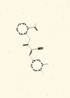 Cc1ccc(/C=C(\C#N)C(=O)Cc2ccccc2C(=O)O)cc1C